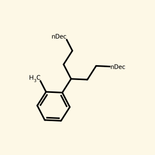 CCCCCCCCCCCCC(CCCCCCCCCCCC)c1ccccc1C